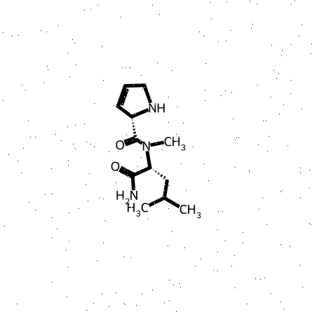 CC(C)C[C@H](C(N)=O)N(C)C(=O)[C@@H]1C=CCN1